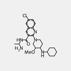 COC1CN(c2nc3ccc(Cl)cc3cc2C(=O)NC(C)N)CCC1NC1CCCCC1